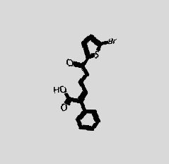 O=C(O)C(=CCCC(=O)c1ccc(Br)s1)c1ccccc1